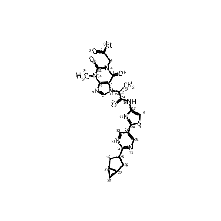 CCC(=O)Cn1c(=O)c2c(ncn2[C@@H](C)C(=O)Nc2csc(-c3cnc(C4CC5CC5C4)nc3)n2)n(C)c1=O